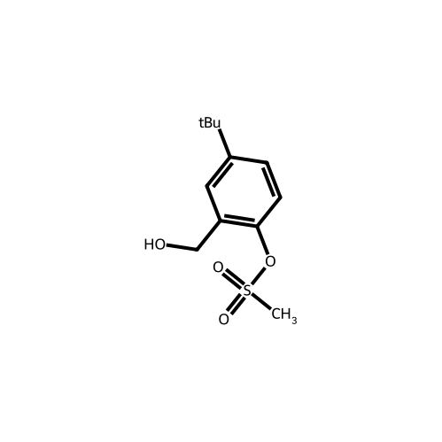 CC(C)(C)c1ccc(OS(C)(=O)=O)c(CO)c1